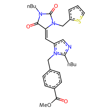 CCCCc1ncc(C=C2C(=O)N(CCCC)C(=O)N2Cc2cccs2)n1Cc1ccc(C(=O)OC)cc1